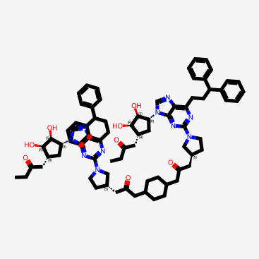 CCC(=O)C[C@H]1C[C@@H](n2cnc3c(CCC(c4ccccc4)c4ccccc4)nc(N4CC[C@@H](CC(=O)CC5CCC(CC(=O)C[C@@H]6CCN(c7nc(CCC(c8ccccc8)c8ccccc8)c8ncn([C@@H]9C[C@H](CC(=O)CC)[C@@H](O)[C@H]9O)c8n7)C6)CC5)C4)nc32)[C@H](O)[C@@H]1O